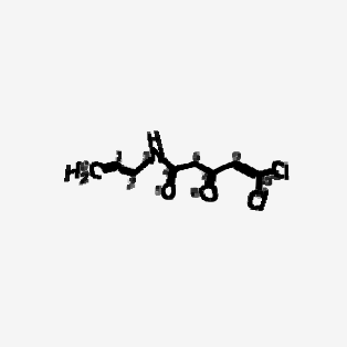 C=CCNC(=O)CC(=O)C=C(Cl)Cl